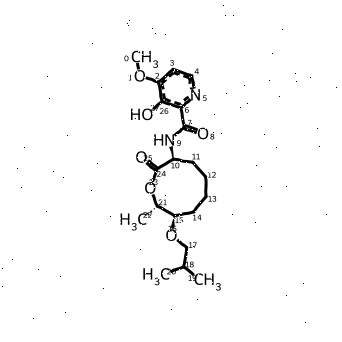 COc1ccnc(C(=O)N[C@H]2CCCC[C@@H](OCC(C)C)[C@H](C)OC2=O)c1O